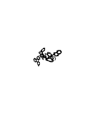 c1ccc2cc(-c3cccc4c3oc3cccc(-c5nc(-c6ccc7c8ccccc8c8ccccc8c7c6)c6sc7ccccc7c6n5)c34)ccc2c1